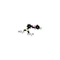 O=C(O)CCSC(SCCC(=O)O)c1cccc(/C=C/c2nc3cc(Cl)ccc3o2)c1